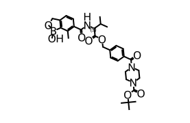 Cc1c(C(=O)N[C@H](C(=O)OCc2ccc(C(=O)N3CCN(C(=O)OC(C)(C)C)CC3)cc2)C(C)C)ccc2c1B(O)OC2